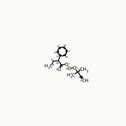 C#CC(C)(C)OOOC(=O)C(CC)c1ccccc1